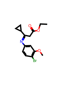 CCOC(=O)C/C(=N\c1ccc(Br)c(OC)c1)C1CC1